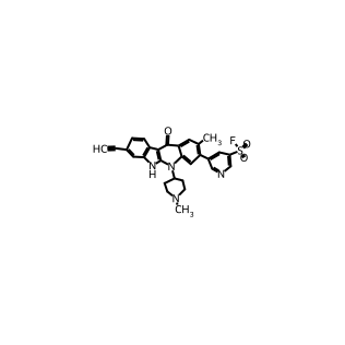 C#Cc1ccc2c(c1)[nH]c1c2c(=O)c2cc(C)c(-c3cncc(S(=O)(=O)F)c3)cc2n1C1CCN(C)CC1